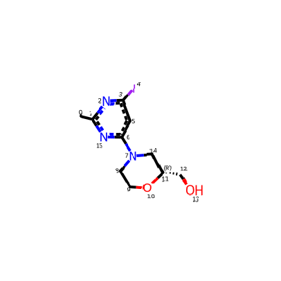 Cc1nc(I)cc(N2CCO[C@@H](CO)C2)n1